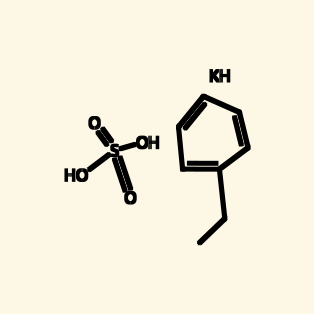 CCc1ccccc1.O=S(=O)(O)O.[KH]